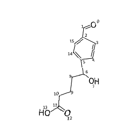 O=Cc1ccc(C(O)CCCC(=O)O)cc1